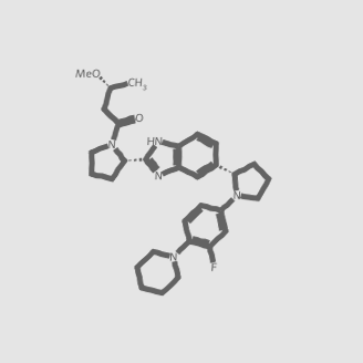 CO[C@H](C)CC(=O)N1CCC[C@H]1c1nc2cc([C@@H]3CCCN3c3ccc(N4CCCCC4)c(F)c3)ccc2[nH]1